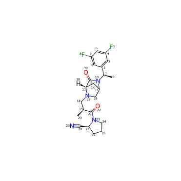 C[C@H](c1cc(F)cc(F)c1)N1C(=O)[C@@H]2CC1CN2C[C@H](C)C(=O)N1CCC[C@H]1C#N